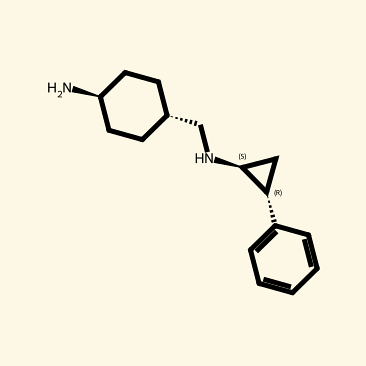 N[C@H]1CC[C@H](CN[C@H]2C[C@@H]2c2ccccc2)CC1